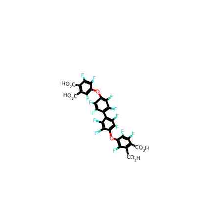 O=C(O)c1c(F)c(F)c(Oc2c(F)c(F)c(-c3c(F)c(F)c(Oc4c(F)c(F)c(C(=O)O)c(C(=O)O)c4F)c(F)c3F)c(F)c2F)c(F)c1C(=O)O